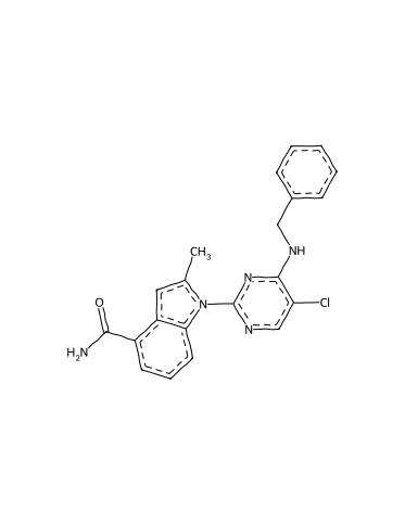 Cc1cc2c(C(N)=O)cccc2n1-c1ncc(Cl)c(NCc2ccccc2)n1